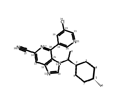 CC([C@H]1CC[C@H](C)CC1)n1cnc2cc(C#N)nc(-c3cncc(Cl)c3)c21